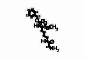 COC(=O)C(CCCCNC(=O)CN)NC(=O)OCc1ccccc1